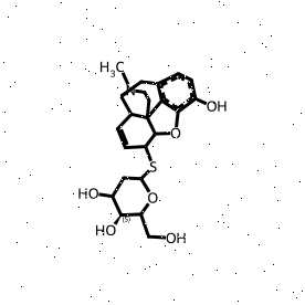 CN1CCC23c4c5ccc(O)c4OC2C(SC2CC(O)[C@H](O)C(CO)O2)C=CC3C1C5